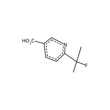 CC(C)(F)c1ccc(C(=O)O)cn1